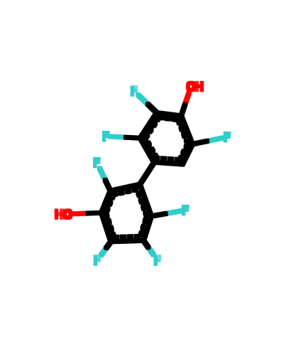 Oc1c(F)cc(-c2c(F)c(O)c(F)c(F)c2F)c(F)c1F